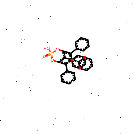 O=P1(O)Oc2c(-c3ccccc3)c(c(-c3ccccc3)c(-c3ccccc3)c2-c2ccccc2)O1